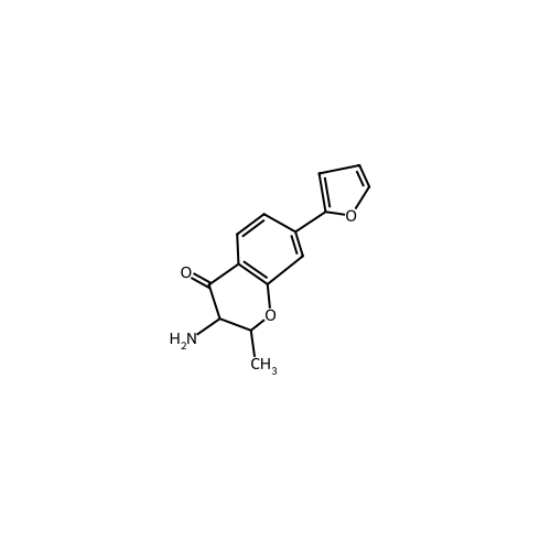 CC1Oc2cc(-c3ccco3)ccc2C(=O)C1N